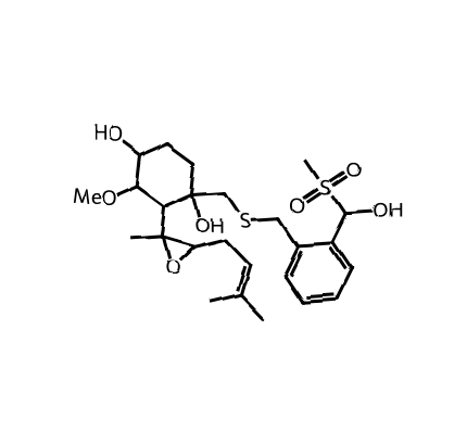 COC1C(O)CCC(O)(CSCc2ccccc2C(O)S(C)(=O)=O)C1C1(C)OC1CC=C(C)C